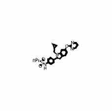 CCCS(=O)(=O)Nc1ccc(C2Cc3ccc(Oc4ncccn4)cc3N2CC2CC2)cc1